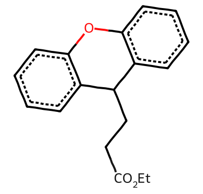 CCOC(=O)CCC1c2ccccc2Oc2ccccc21